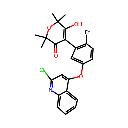 CCc1ccc(Oc2cc(Cl)nc3ccccc23)cc1C1=C(O)C(C)(C)OC(C)(C)C1=O